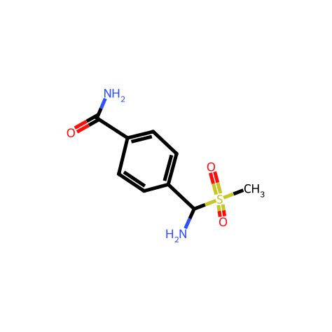 CS(=O)(=O)C(N)c1ccc(C(N)=O)cc1